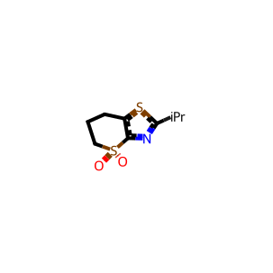 CC(C)c1nc2c(s1)CCCS2(=O)=O